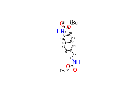 CC(C)(C)OC(=O)NCCc1ccc2cc(NC(=O)OC(C)(C)C)ccc2c1